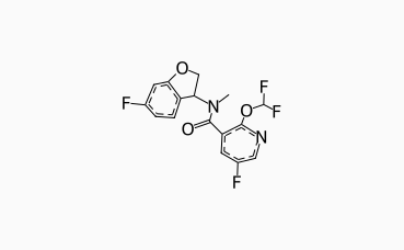 CN(C(=O)c1cc(F)cnc1OC(F)F)C1COc2cc(F)ccc21